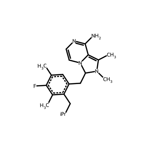 CC1=C2C(N)=NC=CN2C(Cc2cc(C)c(F)c(C)c2CC(C)C)N1C